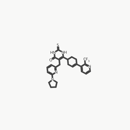 O=c1[nH]c(=S)[nH]c(C2CC=C(c3cccnc3C(F)(F)F)CC2)c1Cc1cccc(N2CCCC2)n1